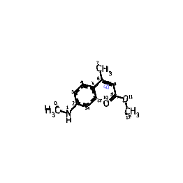 CNc1ccc(/C(C)=C\C(=O)OC)cc1